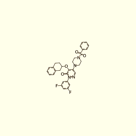 O=c1c(OC2CCc3ccccc3C2)c(N2CCN(S(=O)(=O)c3ccccc3)CC2)cnn1-c1cc(F)cc(F)c1